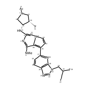 CNc1nc(N[C@@H]2CN(C(C)=O)C[C@@H]2F)nn2ccc(-c3ccc4nnn(CC(F)F)c4n3)c12